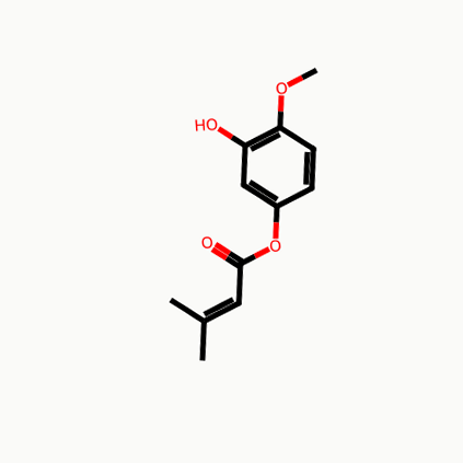 COc1ccc(OC(=O)C=C(C)C)cc1O